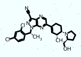 C[C@@H]1C=C(c2cnc3c(C#N)nn([C@H](C)c4ccc(Cl)cc4Cl)c3n2)CC[C@@H]1N1CCC[C@H]1CO